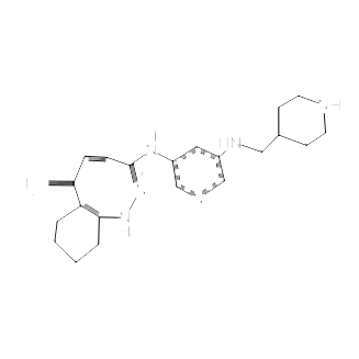 C=C1/C=C\C(Nc2cncc(NCC3CCNCC3)c2)=N/NC2=C1CCCC2